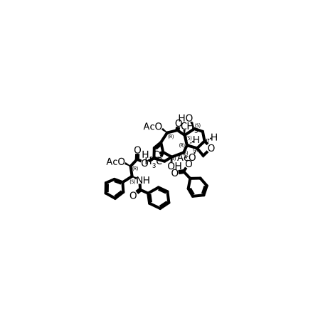 CC(=O)O[C@H]1C(=O)[C@@]2(C)[C@H]([C@H](OC(=O)C3C=CC=CC3)[C@]3(O)CC(OC(=O)[C@H](OC(C)=O)[C@@H](NC(=O)c4ccccc4)c4ccccc4)C=C1C3(C)C)[C@]1(OC(C)=O)CO[C@@H]1C[C@@H]2O